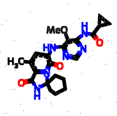 COc1c(NC(=O)C2CC2)ncnc1Nc1cc(C)c2n(c1=O)C1(CCCCC1)NC2=O